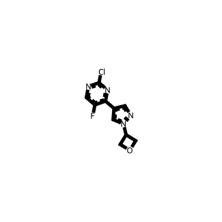 Fc1cnc(Cl)nc1-c1cnn(C2COC2)c1